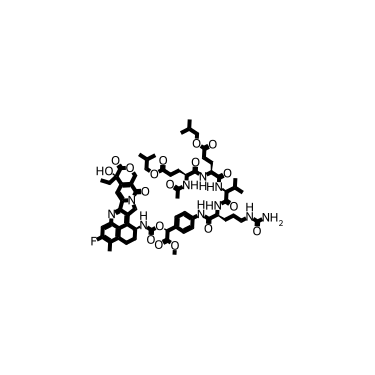 CC[C@@]1(O)C(=O)OCc2c1cc1n(c2=O)Cc2c-1nc1cc(F)c(C)c3c1c2[C@@H](NC(=O)O[C@@H](C(=O)OC)c1ccc(NC(=O)[C@H](CCCNC(N)=O)NC(=O)[C@@H](NC(=O)[C@H](CCC(=O)OCC(C)C)NC(=O)[C@H](CCC(=O)OCC(C)C)NC(C)=O)C(C)C)cc1)CC3